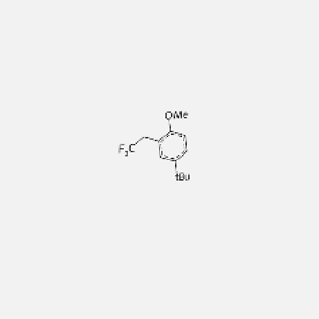 COc1ccc(C(C)(C)C)cc1CC(F)(F)F